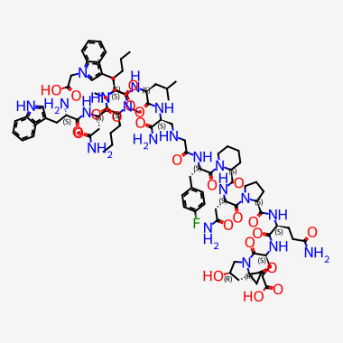 CCCC[C@@H](C(=O)N(C)[C@@H](CCCC)C(=O)N[C@@H](CC(C)C)C(=O)N[C@@H](CNCC(=O)N[C@@H](Cc1ccc(F)cc1)C(=O)N1CCCC[C@H]1C(=O)N[C@@H](CC(N)=O)C(=O)N1CCC[C@H]1C(=O)N[C@@H](CCC(N)=O)C(=O)N[C@@H](CCC(=O)O)C(=O)N1C[C@H](O)C[C@]12CC2=O)C(N)=O)N(C)C(=O)[C@H](Cc1cn(CC(=O)O)c2ccccc12)NC(=O)[C@H](CC(N)=O)NC(=O)[C@@H](N)Cc1c[nH]c2ccccc12